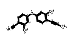 C#Cc1ccc(Oc2ccc(C#CC)c(O)c2)cc1O